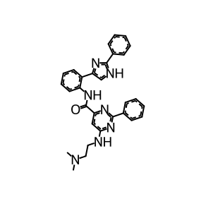 CN(C)CCNc1cc(C(=O)Nc2ccccc2-c2c[nH]c(-c3ccccc3)n2)nc(-c2ccccc2)n1